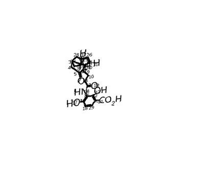 C[C@@]12C[C@@]34CCC(=O)[C@@](C)(CCC(=O)Nc5c(O)ccc(C(=O)O)c5O)[C@@H]3[C@H](C[C@@H]1C4)O2